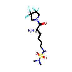 CN(C)S(=O)(=O)NCCCC[C@H](N)C(=O)N1CC(F)(F)C(F)(F)C1